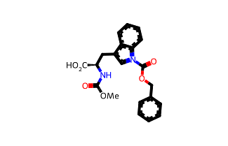 COC(=O)N[C@H](Cc1cn(C(=O)OCc2ccccc2)c2ccccc12)C(=O)O